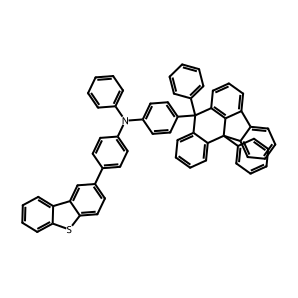 c1ccc(N(c2ccc(-c3ccc4sc5ccccc5c4c3)cc2)c2ccc(C3(c4ccccc4)c4ccccc4C4(c5ccccc5)c5ccccc5-c5cccc3c54)cc2)cc1